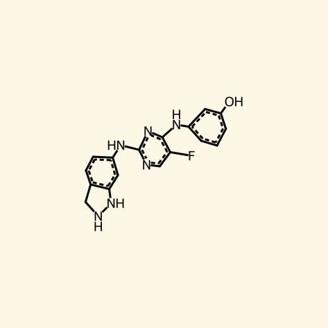 Oc1cccc(Nc2nc(Nc3ccc4c(c3)NNC4)ncc2F)c1